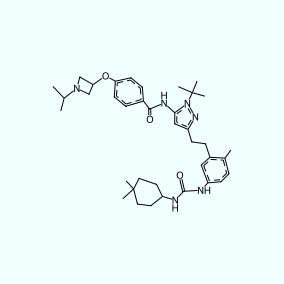 Cc1ccc(NC(=O)NC2CCC(C)(C)CC2)cc1CCc1cc(NC(=O)c2ccc(OC3CN(C(C)C)C3)cc2)n(C(C)(C)C)n1